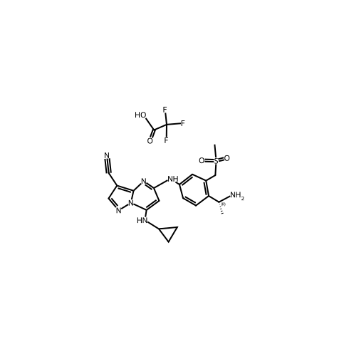 C[C@@H](N)c1ccc(Nc2cc(NC3CC3)n3ncc(C#N)c3n2)cc1CS(C)(=O)=O.O=C(O)C(F)(F)F